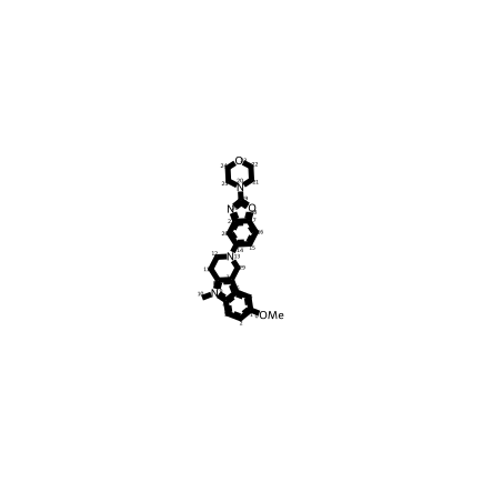 COc1ccc2c(c1)c1c(n2C)CCN(c2ccc3oc(N4CCOCC4)nc3c2)C1